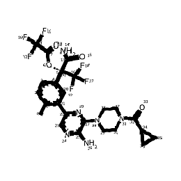 Cc1ccc([C@@](OC(=O)C(F)(F)F)(C(N)=O)C(F)(F)F)cc1-c1cnc(N)c(N2CCN(C(=O)C3CC3)CC2)n1